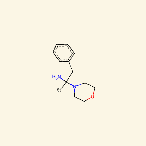 CCC(N)(Cc1ccccc1)N1CCOCC1